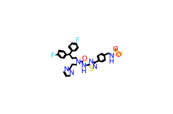 O=C(Nc1nc(-c2ccc(CN[SH](=O)=O)cc2)ns1)N(CCc1ncccn1)CCC(c1ccc(F)cc1)c1ccc(F)cc1